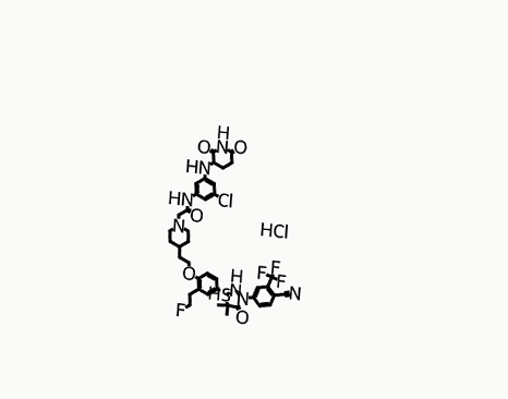 CC1(C)C(=O)N(c2ccc(C#N)c(C(F)(F)F)c2)N[SH]1c1ccc(OCCC2CCN(CC(=O)Nc3cc(Cl)cc(NC4CCC(=O)NC4=O)c3)CC2)c(CCF)c1.Cl